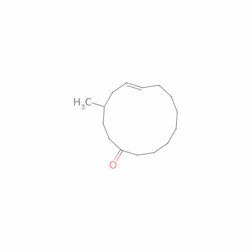 CC1C/C=C/CCCCCCCC(=O)CC1